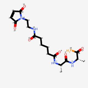 C[C@H](NC(=O)[C@H](C)NC(=O)CCCCC(=O)NCCN1C(=O)C=CC1=O)C(=O)P